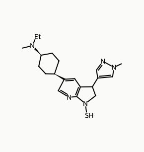 CCN(C)[C@H]1CC[C@@H](c2cnc3c(c2)C(c2cnn(C)c2)CN3S)CC1